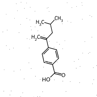 C=C(CC(C)C)c1ccc(C(=O)O)cc1